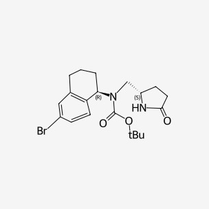 CC(C)(C)OC(=O)N(C[C@@H]1CCC(=O)N1)[C@@H]1CCCc2cc(Br)ccc21